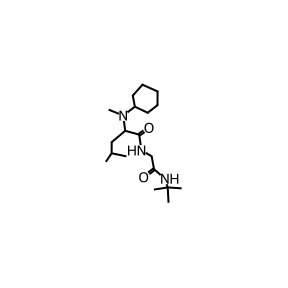 CC(C)CC(C(=O)NCC(=O)NC(C)(C)C)N(C)C1CCCCC1